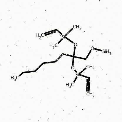 C=C[Si](C)(C)OC(CCCCCC)(CO[SiH3])O[Si](C)(C)C=C